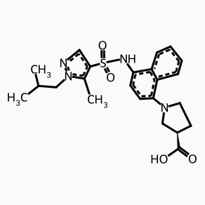 Cc1c(S(=O)(=O)Nc2ccc(N3CC[C@@H](C(=O)O)C3)c3ccccc23)cnn1CC(C)C